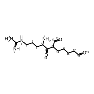 N=C(N)NCCCC(N)C(=O)C([C]=O)CCCC[C]=O